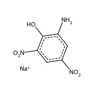 Nc1cc([N+](=O)[O-])cc([N+](=O)[O-])c1O.[Na+]